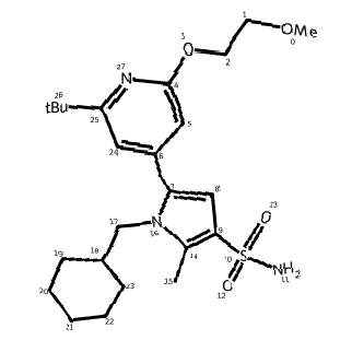 COCCOc1cc(-c2cc(S(N)(=O)=O)c(C)n2CC2CCCCC2)cc(C(C)(C)C)n1